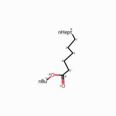 CCCCCCCCCCC[CH]C(=O)OCCCC